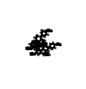 CCC1=Cc2c(-c3ccc(C(C)(C)C)cc3)ccc(-c3ccc(C(C)(C)C)cc3)c2[CH]1[Zr]([CH3])([CH3])(=[SiH2])[CH]1C(CC)=Cc2c(-c3ccc(C(C)(C)C)cc3)ccc(-c3ccc(C(C)(C)C)cc3)c21.Cl.Cl